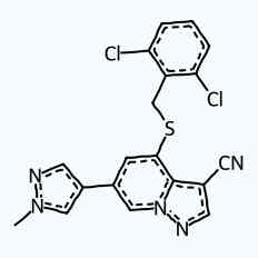 Cn1cc(-c2cc(SCc3c(Cl)cccc3Cl)c3c(C#N)cnn3c2)cn1